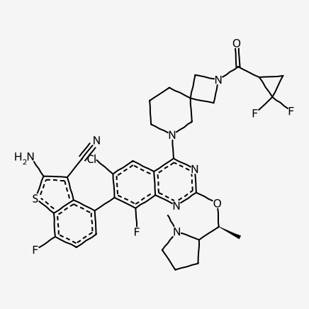 C[C@H](Oc1nc(N2CCCC3(CN(C(=O)C4CC4(F)F)C3)C2)c2cc(Cl)c(-c3ccc(F)c4sc(N)c(C#N)c34)c(F)c2n1)C1CCCN1C